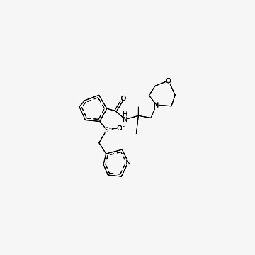 CC(C)(CN1CCOCC1)NC(=O)c1ccccc1[S+]([O-])Cc1cccnc1